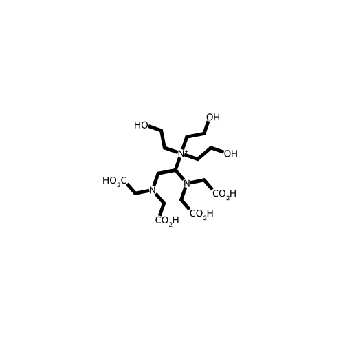 O=C(O)CN(CC(=O)O)CC(N(CC(=O)O)CC(=O)O)[N+](CCO)(CCO)CCO